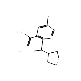 Cc1cnc(C(C)C2CCNC2)c(C(=O)O)c1.Cl